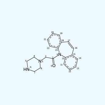 O=C(CN1CCNCC1)N1c2ccccc2C=Cc2ccccc21